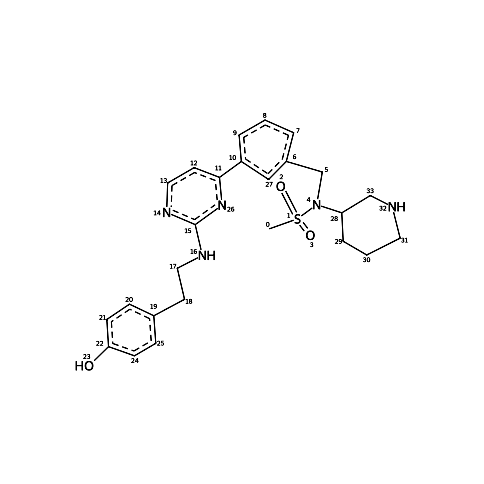 CS(=O)(=O)N(Cc1cccc(-c2ccnc(NCCc3ccc(O)cc3)n2)c1)C1CCCNC1